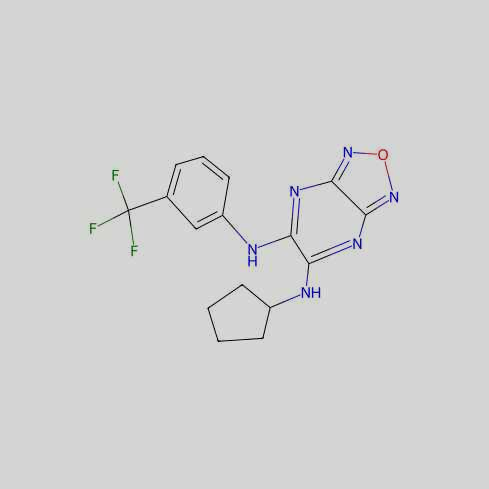 FC(F)(F)c1cccc(Nc2nc3nonc3nc2NC2CCCC2)c1